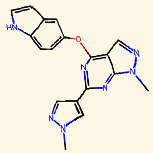 Cn1cc(-c2nc(Oc3ccc4[nH]ccc4c3)c3cnn(C)c3n2)cn1